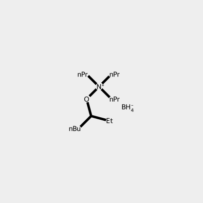 CCCCC(CC)O[N+](CCC)(CCC)CCC.[BH4-]